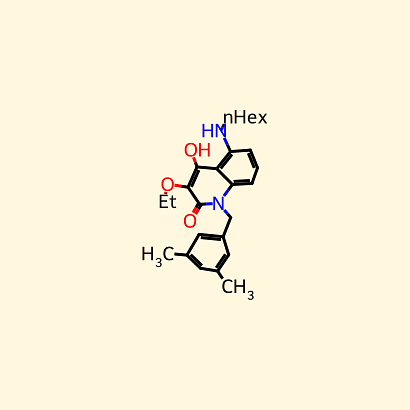 CCCCCCNc1cccc2c1c(O)c(OCC)c(=O)n2Cc1cc(C)cc(C)c1